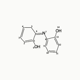 OC1=CC=CCC1=Nc1ccccc1O